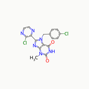 Cn1c(=O)[nH]c(=O)c2c1nc(-c1nccnc1Cl)n2Cc1ccc(Cl)cc1